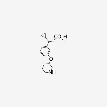 O=C(O)CC(c1cccc(OC2CCCNC2)c1)C1CC1